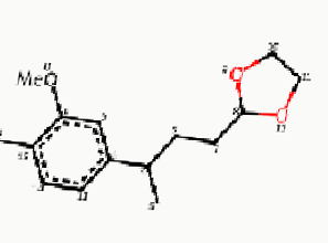 COc1cc(C(C)CCC2OCCO2)ccc1C